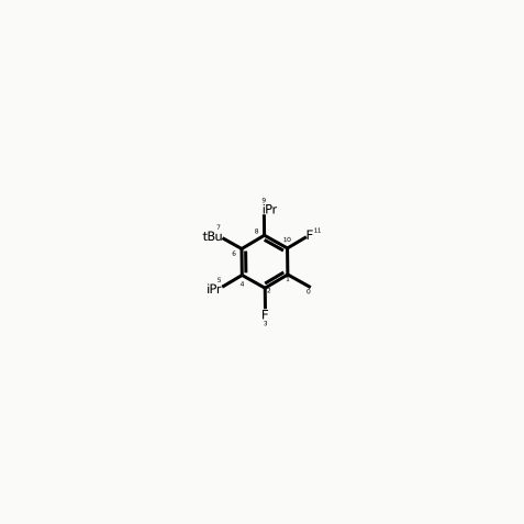 Cc1c(F)c(C(C)C)c(C(C)(C)C)c(C(C)C)c1F